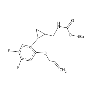 C=CCOc1cc(F)c(F)cc1C1CC1CNC(=O)OC(C)(C)C